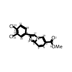 COC(=O)c1ccc2nc(-c3ccc(Cl)c(Cl)c3)cn2c1